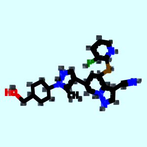 Cc1c(-c2cc(Sc3ncccc3F)c3c(C#N)cnn3c2)cnn1C1CCC(CO)CC1